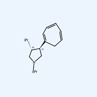 CCCN1C[C@H](C2=CC=CC=CC2)[C@@H](C(C)C)C1